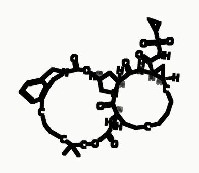 CC1(C)CCCCc2cccc3c2CN(C3)C(=O)O[C@@H]2C[C@H]3C(=O)N[C@]4(C(=O)NS(=O)(=O)C5CC5)C[C@H]4CCCCCCC[C@H](NC(=O)OC1)C(=O)N3C2